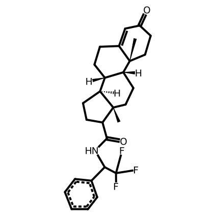 C[C@]12CCC(=O)C=C1CC[C@@H]1[C@H]2CC[C@]2(C)C(C(=O)NC(c3ccccc3)C(F)(F)F)CC[C@@H]12